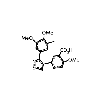 COc1ccc(-c2csnc2-c2cc(C)c(OC)c(OC)c2)cc1C(=O)O